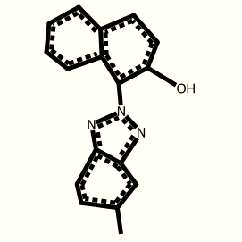 Cc1ccc2nn(-c3c(O)ccc4ccccc34)nc2c1